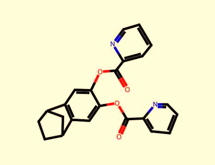 O=C(Oc1cc2c(cc1OC(=O)c1ccccn1)C1CCC2C1)c1ccccn1